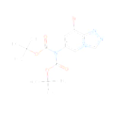 CC(C)(C)OC(=O)N(C(=O)OC(C)(C)C)c1cc(Br)c2nncn2c1